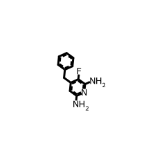 Nc1cc(Cc2ccccc2)c(F)c(N)n1